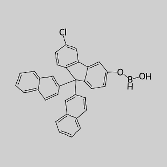 OBOc1ccc2c(c1)-c1cc(Cl)ccc1C2(c1ccc2ccccc2c1)c1ccc2ccccc2c1